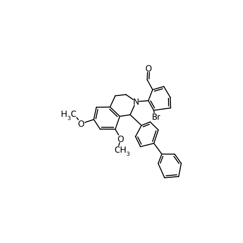 COc1cc2c(c(OC)c1)C(c1ccc(-c3ccccc3)cc1)N(c1c(Br)cccc1C=O)CC2